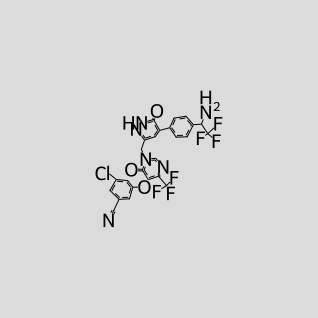 N#Cc1cc(Cl)cc(Oc2c(C(F)(F)F)ncn(Cc3cc(-c4ccc(C(N)C(F)(F)F)cc4)c(=O)[nH]n3)c2=O)c1